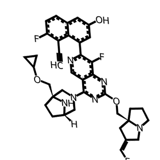 C#Cc1c(F)ccc2cc(O)cc(-c3ncc4c(N5C[C@@H]6CC[C@](COC7CC7)(C5)N6)nc(OC[C@@]56CCCN5C/C(=C\F)C6)nc4c3F)c12